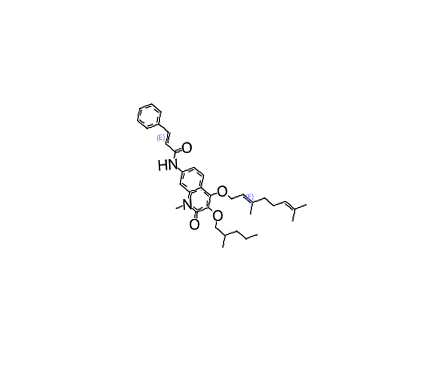 CCCC(C)COc1c(OC/C=C(\C)CCC=C(C)C)c2ccc(NC(=O)/C=C/c3ccccc3)cc2n(C)c1=O